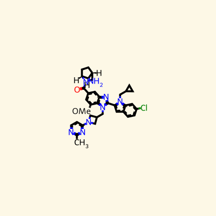 COc1cc(C(=O)N2C[C@H]3CC[C@@H]2[C@@H]3N)cc2nc(-c3cc4ccc(Cl)cc4n3CC3CC3)n(CC3CN(c4ccnc(C)n4)C3)c12